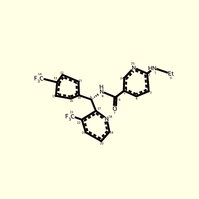 CCNc1ccc(C(=O)N[C@@H](c2ccc(C(F)(F)F)cc2)c2ncccc2C(F)(F)F)cn1